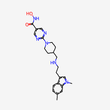 Cc1ccc2c(CCNCC3CCN(c4ncc(C(=O)NO)cn4)CC3)cn(C)c2c1